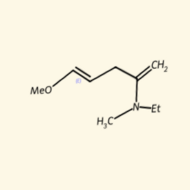 C=C(C/C=C/OC)N(C)CC